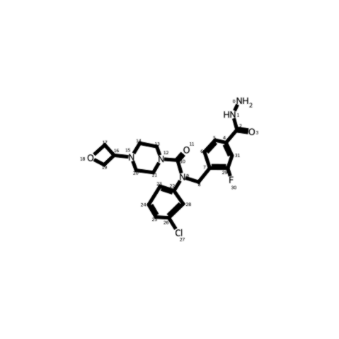 NNC(=O)c1ccc(CN(C(=O)N2CCN(C3COC3)CC2)c2cccc(Cl)c2)c(F)c1